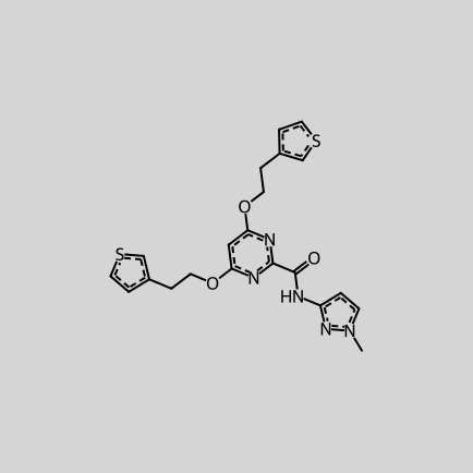 Cn1ccc(NC(=O)c2nc(OCCc3ccsc3)cc(OCCc3ccsc3)n2)n1